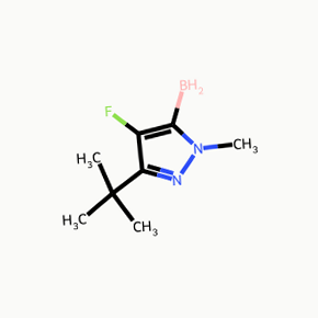 Bc1c(F)c(C(C)(C)C)nn1C